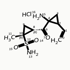 C=CC1CC1(N)C(=O)[C@H]1C[C@@]1(C)S(N)(=O)=O.Cl